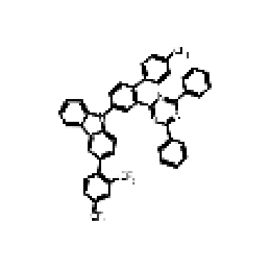 FC(F)(F)c1ccc(-c2ccc(-n3c4ccccc4c4cc(-c5ccc(C(F)(F)F)cc5C(F)(F)F)ccc43)cc2-c2nc(-c3ccccc3)nc(-c3ccccc3)n2)cc1